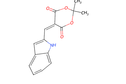 CC1(C)OC(=O)C(=Cc2cc3ccccc3[nH]2)C(=O)O1